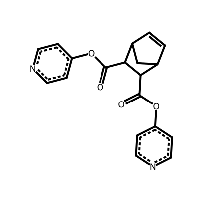 O=C(Oc1ccncc1)C1C2C=CC(C2)C1C(=O)Oc1ccncc1